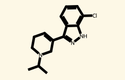 CC(C)N1CCC=C(c2n[nH]c3c(Cl)cccc23)C1